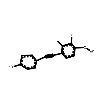 CCCOc1ccc(C#Cc2ccc(CCC)cc2)c(F)c1F